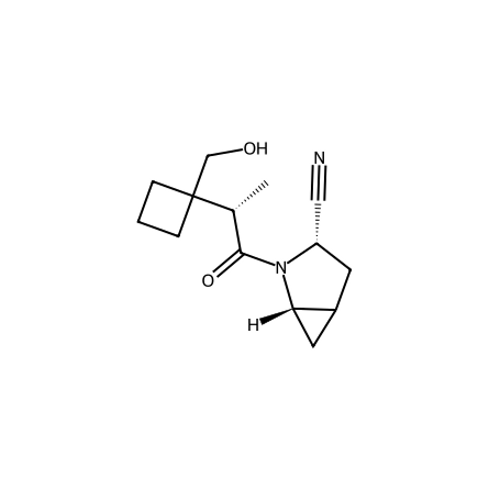 C[C@H](C(=O)N1[C@H](C#N)CC2C[C@@H]21)C1(CO)CCC1